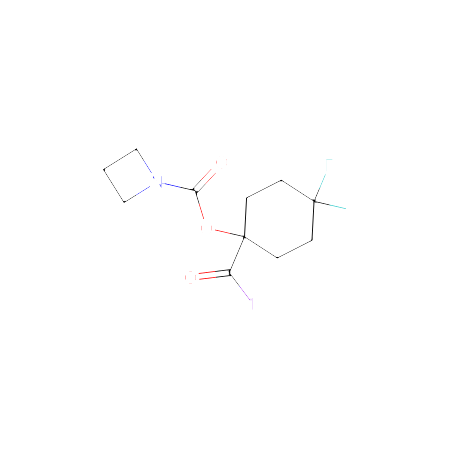 O=C(OC1(C(=O)I)CCC(F)(F)CC1)N1CCC1